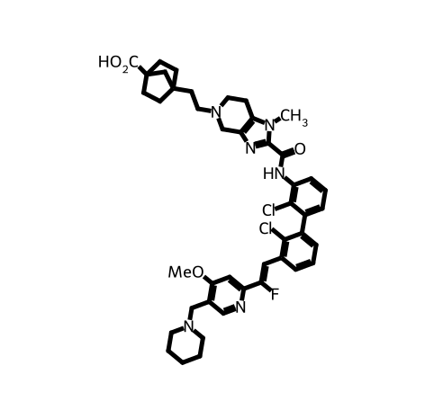 COc1cc(/C(F)=C/c2cccc(-c3cccc(NC(=O)c4nc5c(n4C)CCN(CCC46CCC(C(=O)O)(CC4)C6)C5)c3Cl)c2Cl)ncc1CN1CCCCC1